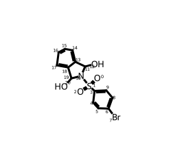 O=S(=O)(c1ccc(Br)cc1)N1C(O)c2ccccc2C1O